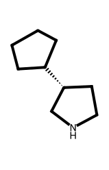 C1CCC([C@@H]2CCNC2)C1